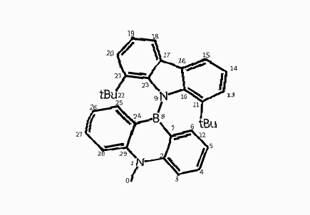 CN1c2ccccc2B(n2c3c(C(C)(C)C)cccc3c3cccc(C(C)(C)C)c32)c2ccccc21